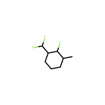 CC1CCCC(C(F)F)C1F